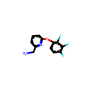 NCc1cccc(Oc2ccc(F)c(F)c2F)n1